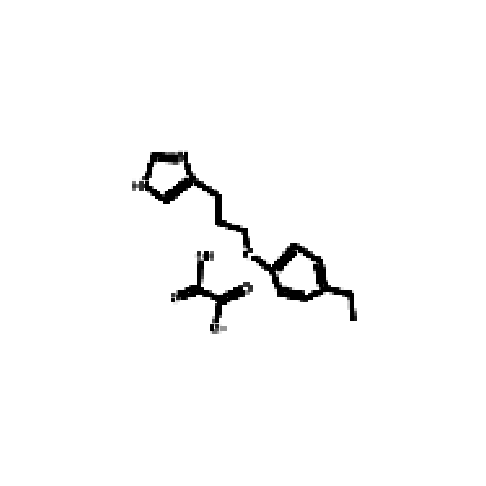 CCc1ccc(OCCCc2c[nH]cn2)cc1.O=C(O)C(=O)O